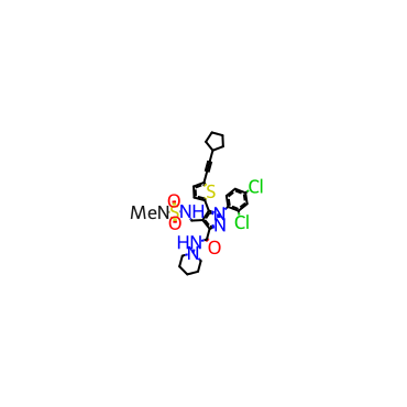 CNS(=O)(=O)NCc1c(C(=O)NN2CCCCC2)nn(-c2ccc(Cl)cc2Cl)c1-c1ccc(C#CC2CCCC2)s1